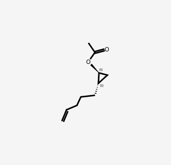 C=CCCC[C@H]1C[C@@H]1OC(C)=O